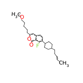 C/C=C/CCC1CCC(c2ccc3cc(CCCCCOC)oc(=O)c3c2F)CC1